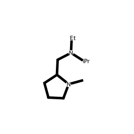 CCN(CC1CCCN1C)C(C)C